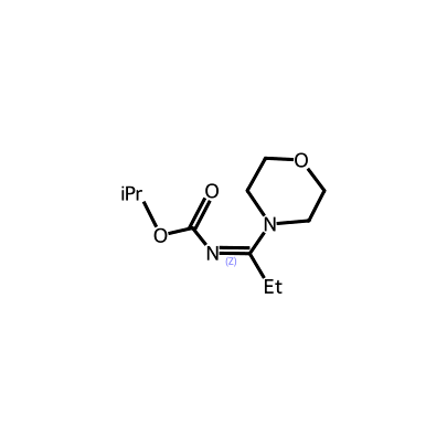 CC/C(=N/C(=O)OC(C)C)N1CCOCC1